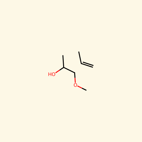 C=CC.COCC(C)O